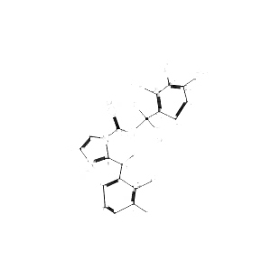 Cc1cccc([C@H](C)c2nccn2C(=O)OC(F)(F)c2ccc(F)c(F)c2F)c1C